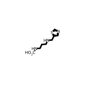 O=C(O)NCCCNCc1cncs1